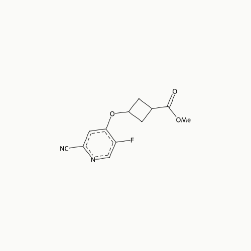 COC(=O)C1CC(Oc2cc(C#N)ncc2F)C1